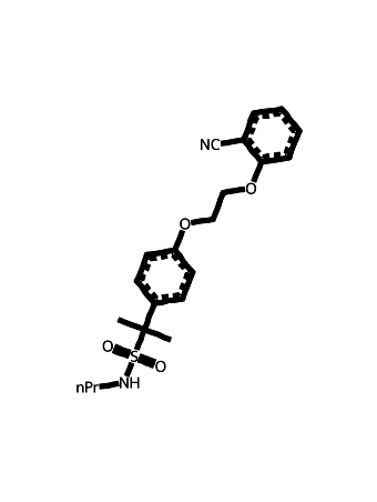 CCCNS(=O)(=O)C(C)(C)c1ccc(OCCOc2ccccc2C#N)cc1